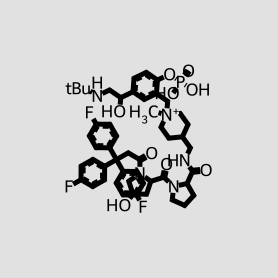 CC(C)(C)NCC(O)c1ccc(OP(=O)(O)O)c(C[N+]2(C)CCC(CNC(=O)C3CCCN3C(=O)C3CC(O)CN3C(=O)CC(c3ccc(F)cc3)(c3ccc(F)cc3)c3ccc(F)cc3)CC2)c1